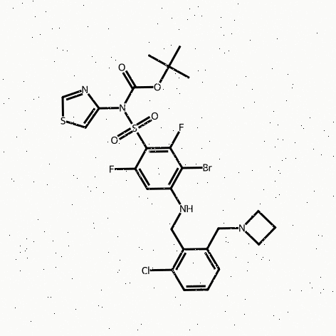 CC(C)(C)OC(=O)N(c1cscn1)S(=O)(=O)c1c(F)cc(NCc2c(Cl)cccc2CN2CCC2)c(Br)c1F